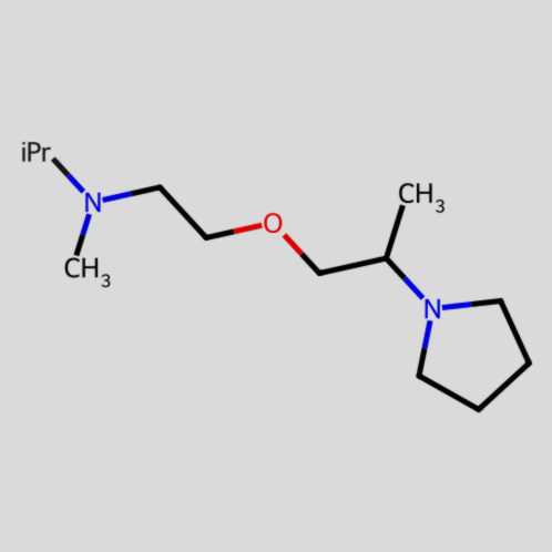 CC(C)N(C)CCOCC(C)N1CCCC1